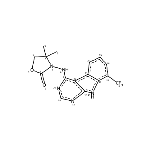 CC1(C)COC(=O)N1Nc1ncnc2[nH]c3c(C(F)(F)F)cccc3c12